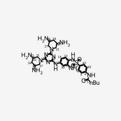 CCCCC(=O)Nc1ccc(S(=O)(=O)Nc2ccc(Nc3nc(N4C[C@H](N)C[C@H](N)C4)nc(N4C[C@H](N)C[C@H](N)C4)n3)cc2N)cc1